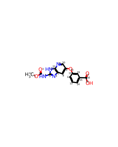 COC(=O)Nc1nc2cc(Oc3cccc(C(=O)O)c3)cnc2[nH]1